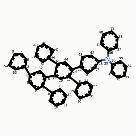 c1ccc(-c2ccc(-c3ccccc3)c(-c3cc(-c4ccccc4)c(-c4ccc(N(c5ccccc5)c5ccccc5)cc4)cc3-c3ccccc3)c2)cc1